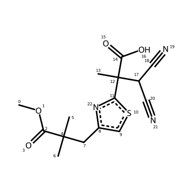 COC(=O)C(C)(C)Cc1csc(C(C)(C(=O)O)C(C#N)C#N)n1